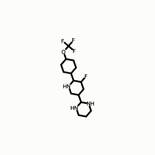 FC1CC(C2NCCCN2)CNC1C1CCC(OC(F)(F)F)CC1